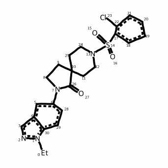 CCn1ncc2cc(N3CCC4(CCN(S(=O)(=O)c5ccccc5Cl)CC4)C3=O)ccc21